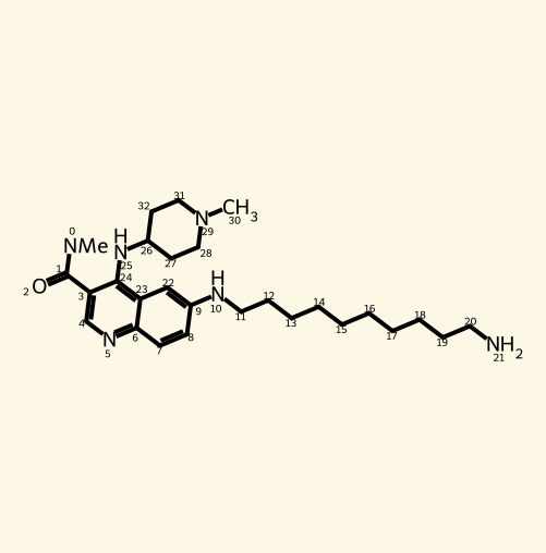 CNC(=O)c1cnc2ccc(NCCCCCCCCCCN)cc2c1NC1CCN(C)CC1